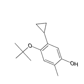 Cc1cc(OC(C)(C)C)c(C2CC2)cc1O